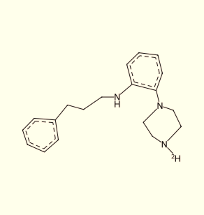 [2H]N1CCN(c2ccccc2NCCCc2ccccc2)CC1